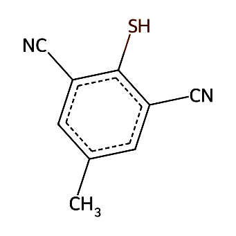 Cc1cc(C#N)c(S)c(C#N)c1